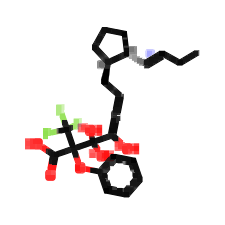 CC/C=C/[C@H]1CCC[C@@H]1CC=C=C([16OH])C([16OH])([16OH])C(Oc1ccccc1)(C(=O)O)C(F)(F)F